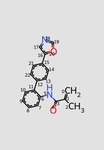 C=C(C)C(=O)Nc1ccccc1-c1ccc(-c2cnco2)cc1